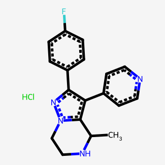 CC1NCCn2nc(-c3ccc(F)cc3)c(-c3ccncc3)c21.Cl